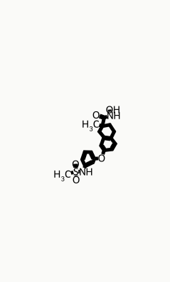 CC1(C(=O)NO)CCc2ccc(Oc3cccc(NS(C)(=O)=O)c3)cc2C1